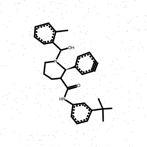 Cc1ccccc1C(O)N1CCCC(C(=O)Nc2cccc(C(C)(C)C)c2)[C@@H]1c1cc#ccc1